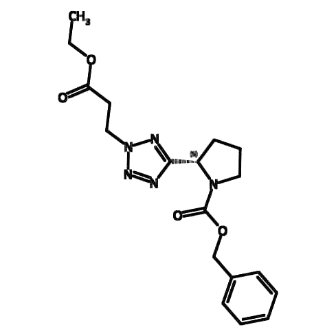 CCOC(=O)CCn1nnc([C@@H]2CCCN2C(=O)OCc2ccccc2)n1